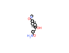 C[C@]12CC[C@@H]3c4ccc(C(=O)N5CCCC5)cc4CC[C@H]3[C@@H]1C[C@H](Cc1cccc(C(N)=O)c1)[C@@H]2O